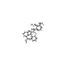 COC(=O)c1cccc2nc([C@H](C)Nc3ncnc(N)c3N)c(-c3cccnc3)n12